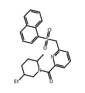 CCC1CCC(C)N(C(=O)c2cccc(CS(=O)(=O)c3cccc4ccccc34)n2)C1